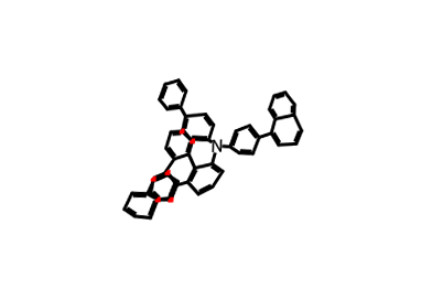 c1ccc(-c2ccc(N(c3ccc(-c4cccc5ccccc45)cc3)c3cccc(-c4ccccc4)c3-c3ccccc3-c3ccc4ccccc4c3)cc2)cc1